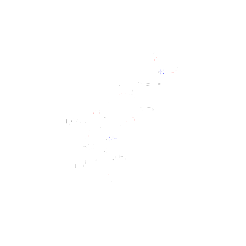 CC(=O)OC1(CNC(C)(C)C(C)=O)COc2ccc([N+](=O)[O-])cc2OC1